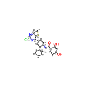 O=C(c1ccc(O)cc1O)N(Cc1ccccc1)c1ccc(-c2nc(Cl)nc3ccsc23)cc1